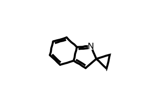 [CH]1CC12C=c1ccccc1=N2